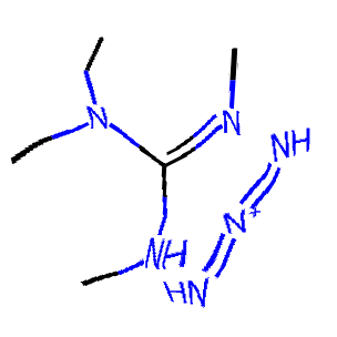 CN=C(NC)N(C)C.N=[N+]=N